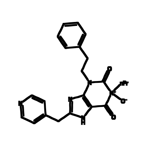 CCC[N+]1([O-])C(=O)c2[nH]c(Cc3ccncc3)nc2N(CCc2ccccc2)C1=O